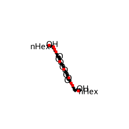 CCCCCCC(O)C/C=C\CCCCCCCC(=O)OCCOCCOCCOCCOCCOC(=O)CCCCCCC/C=C\CCC(O)CCCCCC